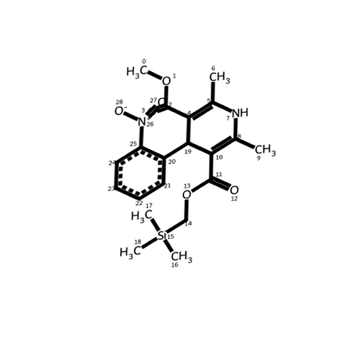 COC(=O)C1=C(C)NC(C)=C(C(=O)OC[Si](C)(C)C)C1c1ccccc1[N+](=O)[O-]